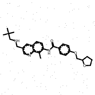 Cc1c(NC(=O)c2ccc(OCC3CCCO3)cc2)ccc2cc(CNCC(C)(C)C)cnc12